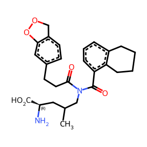 CC(C[C@@H](N)C(=O)O)CN(C(=O)CCc1ccc2c(c1)OOC2)C(=O)c1cccc2c1CCCC2